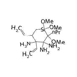 C=CC1C[Si](OC)(OC)C(CCC)(OC)C(N)(N)C1(N)C=C